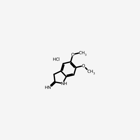 COc1cc2c(cc1OC)NC(=N)C2.Cl